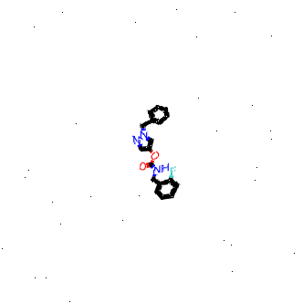 O=C(NCc1ccccc1F)Oc1cnn(Cc2ccccc2)c1